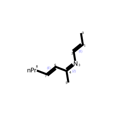 C/C=C/N=C(C)\C=C\CCC